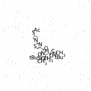 CC(=O)SC1CN(c2nc(C(=O)N(O[Si](C)(C)C(C)(C)C)C(C)CO[Si](C)(C)C(C)(C)C)cs2)C1